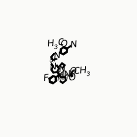 COC(=O)N[C@H]1CCC[C@@H]1[C@](CN1CCC1)(c1cccc(F)c1)C1CCN(C[C@@H]2CCN(c3ccc(C#N)c(OC)c3)C2)CC1